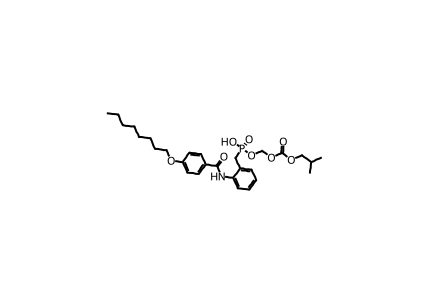 CCCCCCCCOc1ccc(C(=O)Nc2ccccc2CP(=O)(O)OCOC(=O)OCC(C)C)cc1